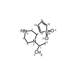 CC(I)N1CCNCC1.O=S1(=O)C=CC=C1